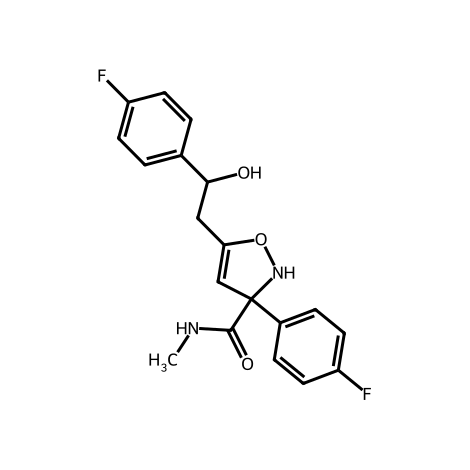 CNC(=O)C1(c2ccc(F)cc2)C=C(CC(O)c2ccc(F)cc2)ON1